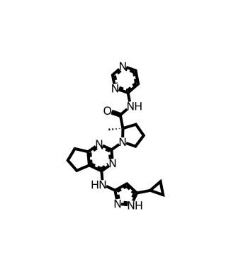 C[C@]1(C(=O)Nc2ccncn2)CCCN1c1nc2c(c(Nc3cc(C4CC4)[nH]n3)n1)CCC2